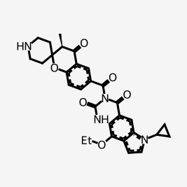 CCOc1cc(C(=O)N(C(N)=O)C(=O)c2ccc3c(c2)C(=O)[C@H](C)C2(CCNCC2)O3)cc2c1ccn2C1CC1